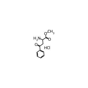 COC(=O)C(N)CC(=O)c1ccccc1.Cl